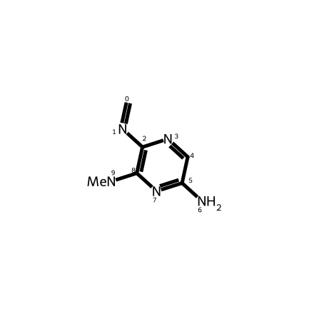 C=Nc1ncc(N)nc1NC